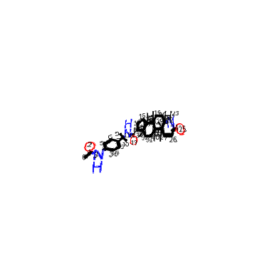 CC(=O)Nc1ccc(C(C)(C)NC(=O)[C@H]2CC[C@H]3[C@@H]4CC[C@H]5N(C)C(=O)C=C[C@]5(C)[C@H]4CC[C@]23C)cc1